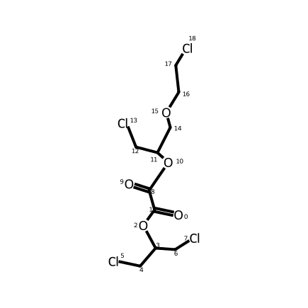 O=C(OC(CCl)CCl)C(=O)OC(CCl)COCCCl